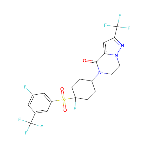 O=C1c2cc(C(F)(F)F)nn2CCN1C1CCC(F)(S(=O)(=O)c2cc(F)cc(C(F)(F)F)c2)CC1